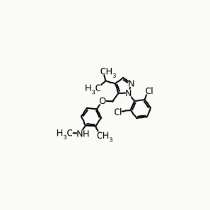 CNc1ccc(OCc2c(C(C)C)cnn2-c2c(Cl)cccc2Cl)cc1C